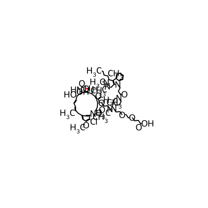 CCCC(C)C1c2c(n(CCC(=O)N3CCC(N(CCOCCOCCC(=O)O)N(C)[C@H](C)C(=O)O[C@H]4CC(=O)N(C)c5cc(cc(OC)c5Cl)C/C(C)=C/C=C/[C@@H](O)[C@@]5(O)C[C@H](OC(=O)N5)[C@@H](C)C5O[C@]54C)CC3)c3ccccc23)CN(C)N1C